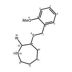 COc1ccccc1CSC1CCCCNC1[N]